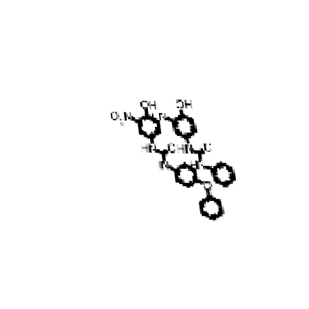 O=C(Nc1ccc(Oc2ccccc2)cc1)Nc1ccc(O)c([N+](=O)[O-])c1.O=C(Nc1ccccc1)Nc1ccc(O)c([N+](=O)[O-])c1